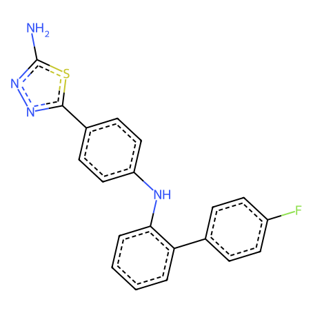 Nc1nnc(-c2ccc(Nc3ccccc3-c3ccc(F)cc3)cc2)s1